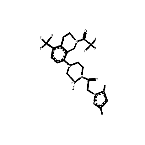 Cc1cc(C)n(CC(=O)N2CCN(c3ccc(C(F)(F)F)c4c3CN(C(=O)C(F)(F)F)CC4)C[C@H]2C)n1